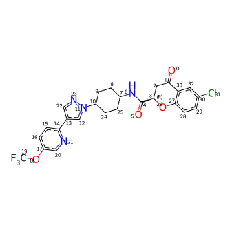 O=C1C[C@H](C(=O)NC2CCC(n3cc(-c4ccc(OC(F)(F)F)cn4)cn3)CC2)Oc2ccc(Cl)cc21